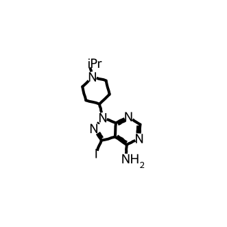 CC(C)N1CCC(n2nc(I)c3c(N)ncnc32)CC1